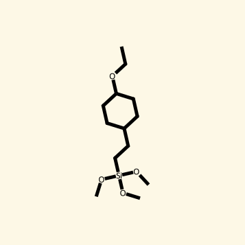 CCOC1CCC(CC[Si](OC)(OC)OC)CC1